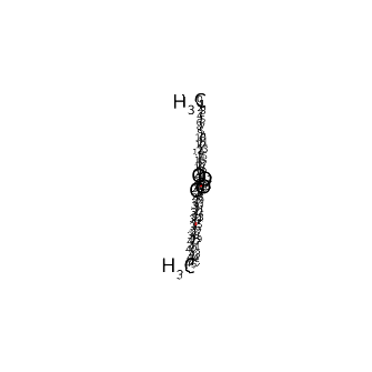 CCCCCCCCCCCCCCCCCCCCOC(=O)CC(=O)OCCCCCCCCCCCCCCCCCCCC